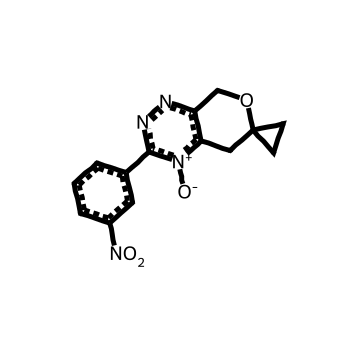 O=[N+]([O-])c1cccc(-c2nnc3c([n+]2[O-])CC2(CC2)OC3)c1